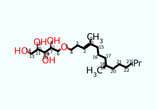 CC(=CCCOC[C@H](O)[C@@H](O)[C@H](O)CO)CCCC(C)CCCC(C)C